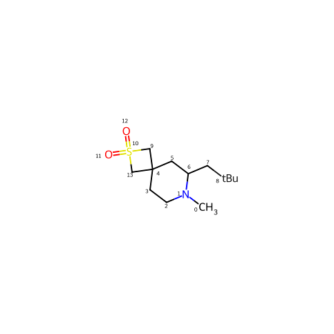 CN1CCC2(CC1CC(C)(C)C)CS(=O)(=O)C2